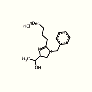 CCCCCCCCCCCCCC1=NC(C(C)O)CN1Cc1ccccc1.Cl